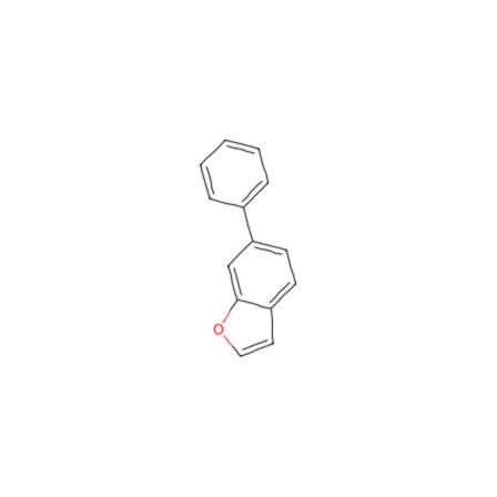 c1ccc(-c2ccc3ccoc3c2)cc1